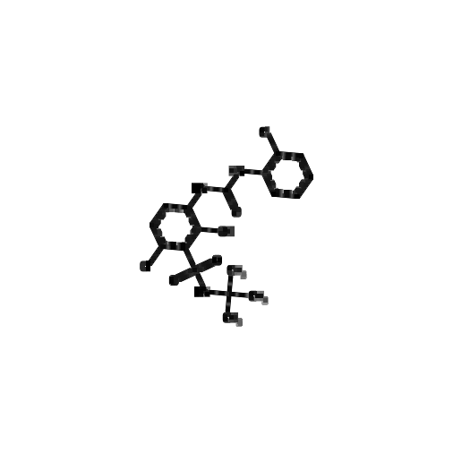 CC(C)(C)NS(=O)(=O)c1c(Cl)ccc(NC(=O)Nc2ccccc2Cl)c1O